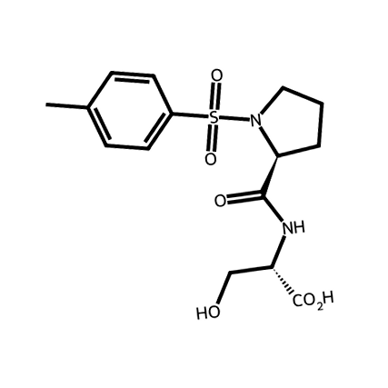 Cc1ccc(S(=O)(=O)N2CCC[C@H]2C(=O)N[C@@H](CO)C(=O)O)cc1